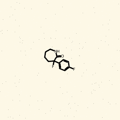 O=C1NCCCCC1(F)c1ccc(F)cc1